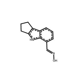 O/N=C/c1cccc2c3c([nH]c12)CCC3